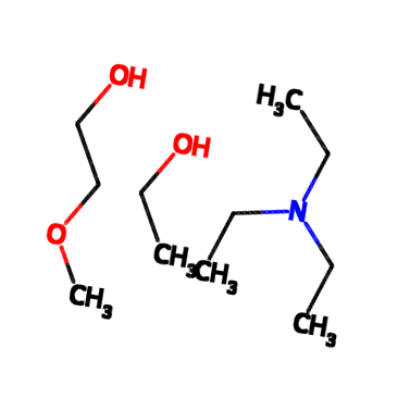 CCN(CC)CC.CCO.COCCO